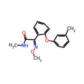 CNC(=O)C(=NOC)c1ccccc1Oc1cccc(C)c1